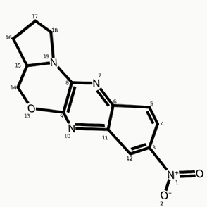 O=[N+]([O-])c1ccc2nc3c(nc2c1)OCC1CCCN31